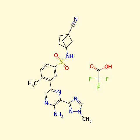 Cc1ccc(S(=O)(=O)NC23CCC(C#N)(C2)C3)cc1-c1cnc(N)c(-c2ncn(C)n2)n1.O=C(O)C(F)(F)F